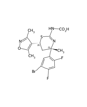 Cc1noc(C)c1[C@H]1C[C@@](C)(c2cc(Br)c(F)cc2F)N=C(NC(=O)O)S1